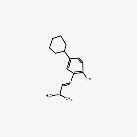 CN(C)C=Nc1nc(C2CCCCC2)ccc1C#N